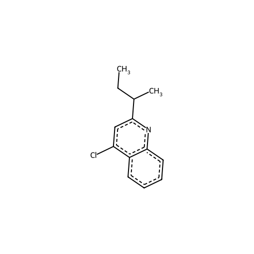 CCC(C)c1cc(Cl)c2ccccc2n1